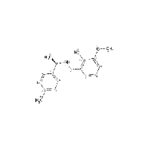 COc1cccc(CN[C@H](C)c2ccc(C)cc2)c1O